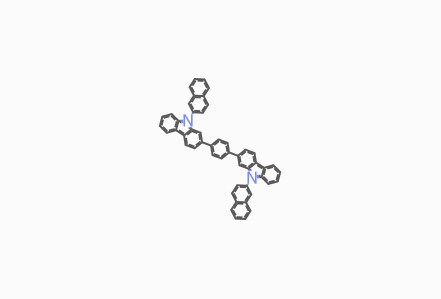 c1ccc2cc(-n3c4ccccc4c4ccc(-c5ccc(-c6ccc7c8ccccc8n(-c8ccc9ccccc9c8)c7c6)cc5)cc43)ccc2c1